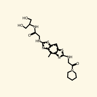 Cc1c2nc(NCC(=O)NC(CO)CO)sc2cc2sc(NCC(=O)N3CCCCC3)nc12